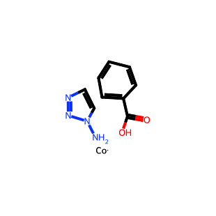 Nn1ccnn1.O=C(O)c1ccccc1.[Co]